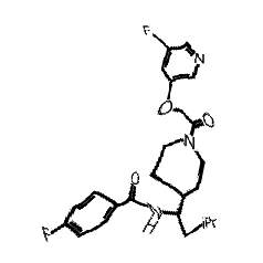 CC(C)CC(NC(=O)c1ccc(F)cc1)C1CCN(C(=O)Oc2cncc(F)c2)CC1